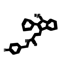 Cn1c(-c2ccccc2)c(C=CC(=O)NCc2ccc(F)cc2)c2ccccc21